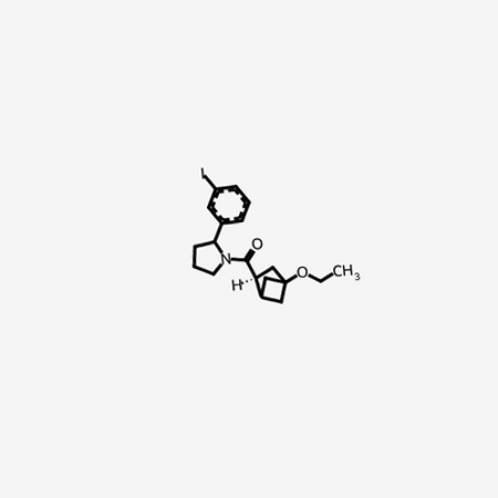 CCOC12CC(C1)[C@@H](C(=O)N1CCCC1c1cccc(I)c1)C2